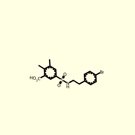 Cc1cc(S(=O)(=O)NCCc2ccc(Br)cc2)cc(C(=O)O)c1C